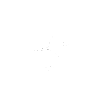 O=C([O-])[O-].[Ca+2].[SeH2]